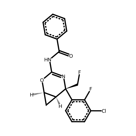 O=C(NC1=N[C@](CF)(c2cccc(Cl)c2F)[C@H]2C[C@H]2O1)c1ccccc1